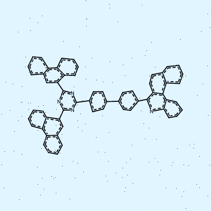 c1ccc2c(c1)cc(-c1nc(-c3ccc(-c4ccc(-c5nc6ccccc6c6c5ccc5ccccc56)cc4)cc3)nc(-c3cc4ccccc4c4ccccc34)n1)c1ccccc12